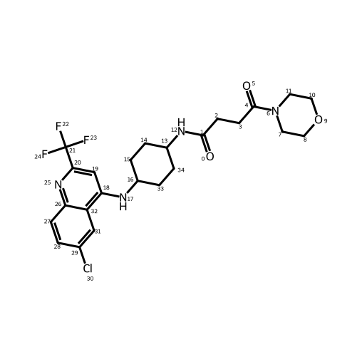 O=C(CCC(=O)N1CCOCC1)NC1CCC(Nc2cc(C(F)(F)F)nc3ccc(Cl)cc23)CC1